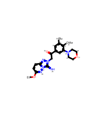 CCOc1ccc2nn(CC(=O)c3cc(N4CCOCC4)c(OC)c(C(C)(C)C)c3)c(=N)n2n1